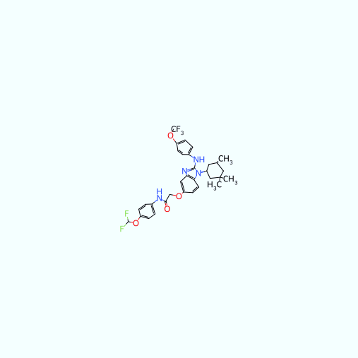 C[C@@H]1C[C@H](n2c(Nc3ccc(OC(F)(F)F)cc3)nc3cc(OCC(=O)Nc4ccc(OC(F)F)cc4)ccc32)CC(C)(C)C1